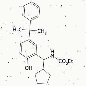 CCOC(=O)NC(c1cc(C(C)(C)c2ccccc2)ccc1O)C1CCCC1